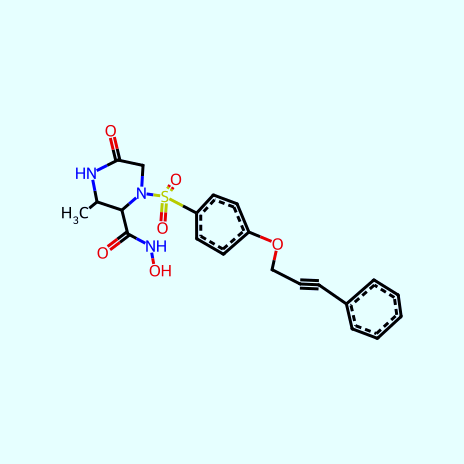 CC1NC(=O)CN(S(=O)(=O)c2ccc(OCC#Cc3ccccc3)cc2)C1C(=O)NO